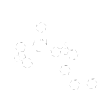 CC1=C(c2cccc3oc4ccccc4c23)C=CC(c2ccc3c(c2)sc2cccc(-c4cccc(-c5cccc(-c6ccccc6)c5)c4)c23)N=C1c1ccccc1